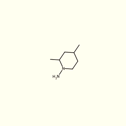 CC1CCN(N)C(C)C1